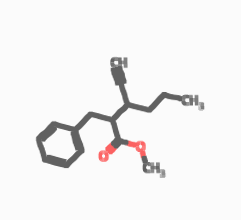 C#CC(CCC)C(Cc1ccccc1)C(=O)OC